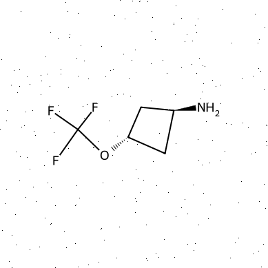 N[C@H]1C[C@H](OC(F)(F)F)C1